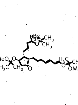 CCCCC(CCC[C@H]1[C@H](OC(C)(C)OC)CC(=O)[C@@H]1CCCC=CC=COC(C)(C)OC)O[Si](C)(C)C